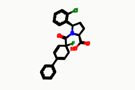 O=C(O)[C@@H]1CC[C@H](c2ccccc2Cl)N1C(=O)C1(F)C=CC(c2ccccc2)=CC1